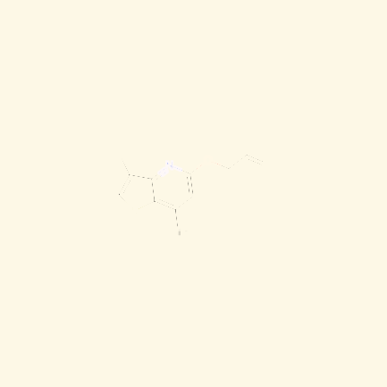 C=CCOc1cc(C(C)C)c2scc(C)c2n1